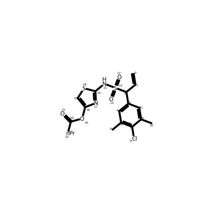 C=CC(c1cc(C)c(Cl)c(C)c1)S(=O)(=O)Nc1nc(OC(=O)CCC)cs1